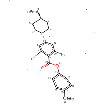 CCCCC[C@H]1CC[C@H](c2cc(F)c(C(=O)Oc3ccc(OC)cc3)c(F)c2)CC1